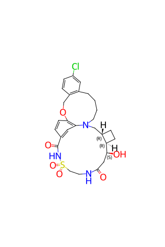 O=C1C[C@H](O)[C@@H]2CC[C@H]2CN2CCCCc3cc(Cl)ccc3COc3ccc(cc32)C(=O)NS(=O)(=O)CCN1